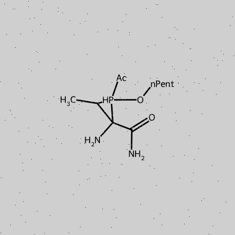 CCCCCO[PH]1(C(C)=O)C(C)C1(N)C(N)=O